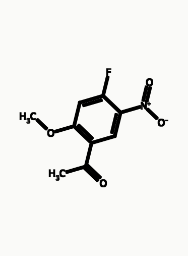 COc1cc(F)c([N+](=O)[O-])cc1C(C)=O